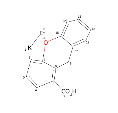 C[CH2][K].O=C(O)c1cccc2c1Cc1ccccc1O2